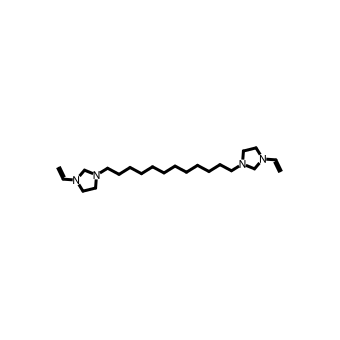 C=CN1CCN(CCCCCCCCCCCCN2CCN(C=C)C2)C1